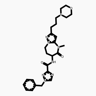 CN1C(=O)C(NC(=O)c2ncn(Cc3ccccc3)n2)CCn2nc(CCCN3CCOCC3)cc21